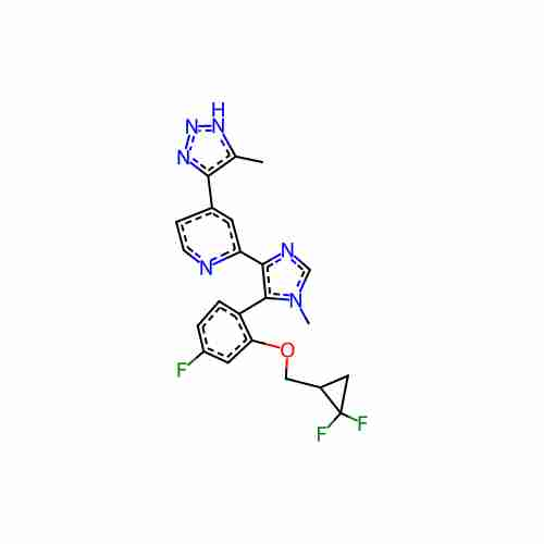 Cc1[nH]nnc1-c1ccnc(-c2ncn(C)c2-c2ccc(F)cc2OCC2CC2(F)F)c1